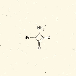 CC(C)c1c(N)c(=O)c1=O